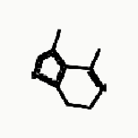 CC1=NCCc2scc(C)c21